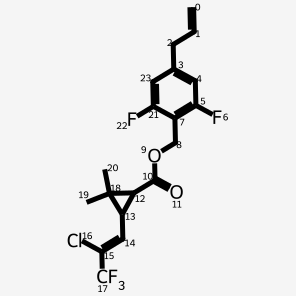 C=CCc1cc(F)c(COC(=O)C2C(C=C(Cl)C(F)(F)F)C2(C)C)c(F)c1